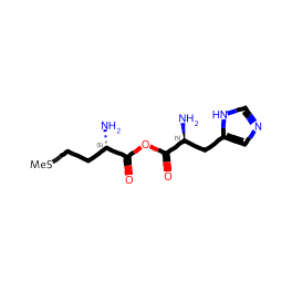 CSCC[C@H](N)C(=O)OC(=O)[C@@H](N)Cc1cnc[nH]1